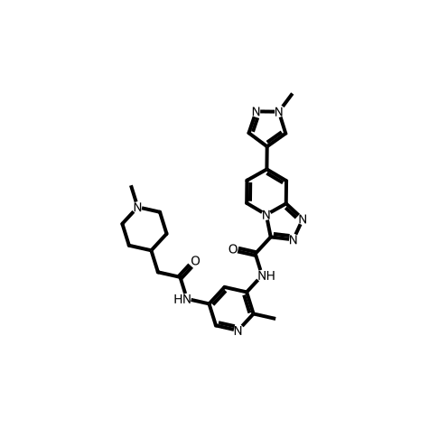 Cc1ncc(NC(=O)CC2CCN(C)CC2)cc1NC(=O)c1nnc2cc(-c3cnn(C)c3)ccn12